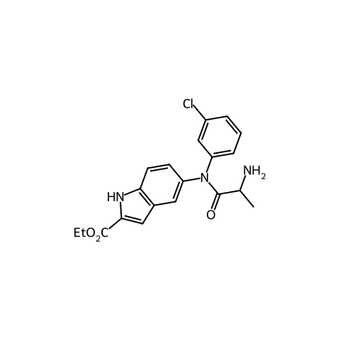 CCOC(=O)c1cc2cc(N(C(=O)C(C)N)c3cccc(Cl)c3)ccc2[nH]1